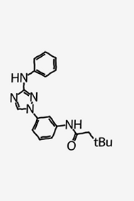 CC(C)(C)CC(=O)Nc1cccc(-n2cnc(Nc3ccccc3)n2)c1